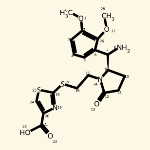 COc1cccc(C(N)[C@H]2CCC(=O)N2CCSc2nc(C(=O)O)cs2)c1OC